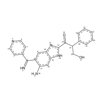 N=C(c1ccncc1)c1cc2nc(C(=O)C(CO)c3ccccc3)[nH]c2cc1N